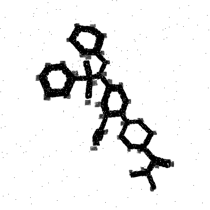 CN(C)C(=O)N1CCN(c2ccc(N(Cc3ccccc3)S(=O)(=O)c3ccccc3)cc2C#N)CC1